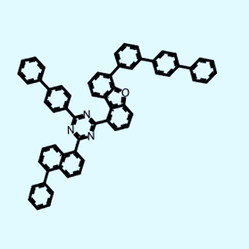 c1ccc(-c2ccc(-c3cccc(-c4cccc5c4oc4cccc(-c6nc(-c7ccc(-c8ccccc8)cc7)nc(-c7cccc8c(-c9ccccc9)cccc78)n6)c45)c3)cc2)cc1